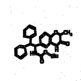 CC1Oc2ccc(C(NC(=O)OC(C)(C)C)C(c3ccccc3)c3ccccc3)cc2NC1=O